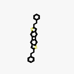 c1ccc(CCc2cc3cc4c(cc3s2)-c2cc3cc(CCc5ccccc5)sc3cc2-4)cc1